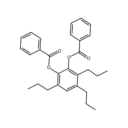 CCCc1cc(CCC)c(OC(=O)c2ccccc2)c(OC(=O)c2ccccc2)c1CCC